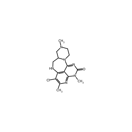 Cc1nc2c3c(nc(=O)n2C)N2CCN(C)CC2CNc3c1Cl